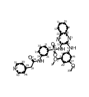 COc1cc(Nc2nc3ccccc3nc2NS(=O)(=O)c2cccc(NC(=O)Cc3ccncc3)c2)cc(OC)c1